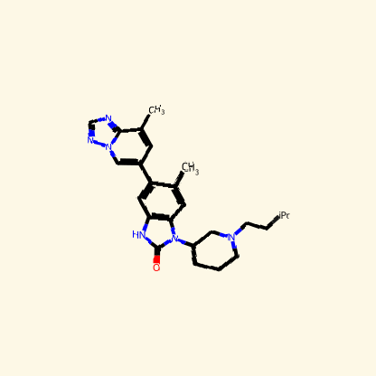 Cc1cc2c(cc1-c1cc(C)c3ncnn3c1)[nH]c(=O)n2C1CCCN(CCC(C)C)C1